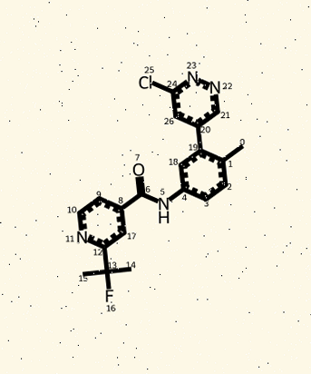 Cc1ccc(NC(=O)c2ccnc(C(C)(C)F)c2)cc1-c1cnnc(Cl)c1